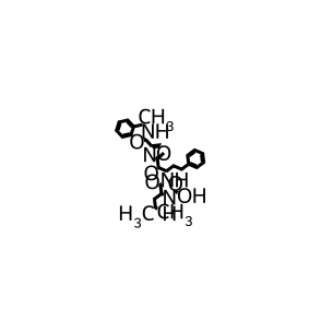 CC(C)CC(NC(=O)O)C(=O)NC(CCc1ccccc1)C(=O)c1nc(C(=O)NC(C)c2ccccc2)co1